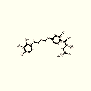 CCCc1c(OCCCSc2ccc(C(=O)C(C)CC(=O)OC)c(Br)c2)ccc(C(C)=O)c1O